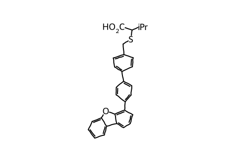 CC(C)C(SCc1ccc(-c2ccc(-c3cccc4c3oc3ccccc34)cc2)cc1)C(=O)O